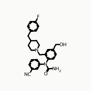 N#Cc1cccc(N(C(N)=O)c2ccc(CO)cc2CN2CCC(Cc3ccc(F)cc3)CC2)c1